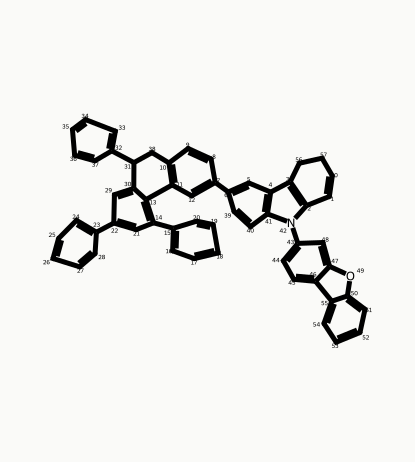 C1=Cc2c(c3cc(-c4ccc5c(c4)-c4c(-c6ccccc6)cc(-c6ccccc6)cc4C(c4ccccc4)C5)ccc3n2-c2ccc3c(c2)oc2ccccc23)CC1